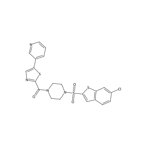 O=C(c1ncc(-c2cccnc2)s1)N1CCN(S(=O)(=O)c2cc3ccc(Cl)cc3s2)CC1